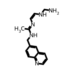 C/C(=N\C=C/NCN)NCc1ccc2ncccc2c1